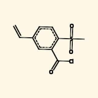 C=Cc1ccc(S(C)(=O)=O)c(C(=O)Cl)c1